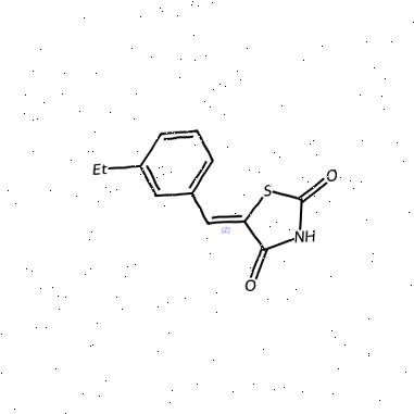 CCc1cccc(/C=C2\SC(=O)NC2=O)c1